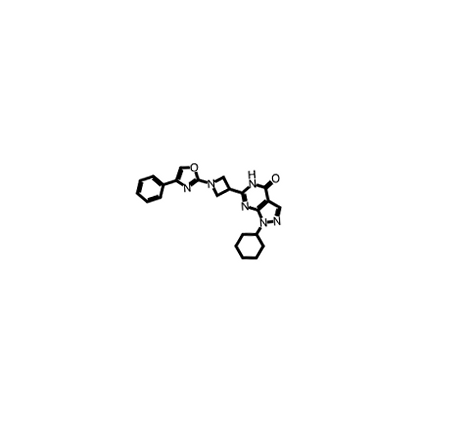 O=c1[nH]c(C2CN(c3nc(-c4ccccc4)co3)C2)nc2c1cnn2C1CCCCC1